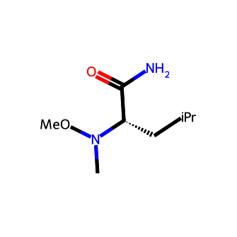 CON(C)[C@@H](CC(C)C)C(N)=O